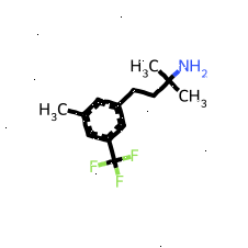 Cc1cc(CCC(C)(C)N)cc(C(F)(F)F)c1